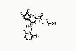 CCc1cccc(C)c1CNc1cc(C(=O)NCCO)cc2c1nc(C)n2C